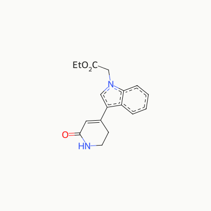 CCOC(=O)Cn1cc(C2=CC(=O)NCC2)c2ccccc21